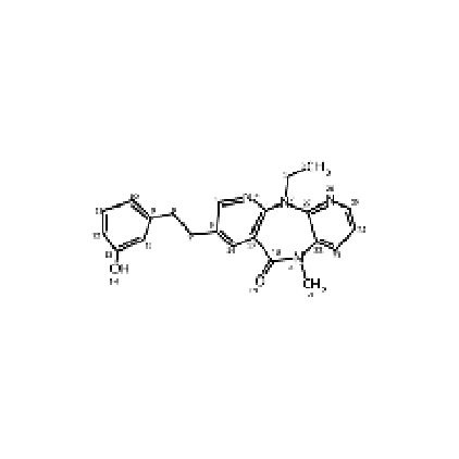 CCN1c2ncc(CCc3cccc(O)c3)cc2C(=O)N(C)c2cccnc21